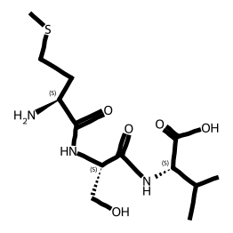 CSCC[C@H](N)C(=O)N[C@@H](CO)C(=O)N[C@H](C(=O)O)C(C)C